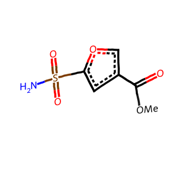 COC(=O)c1coc(S(N)(=O)=O)c1